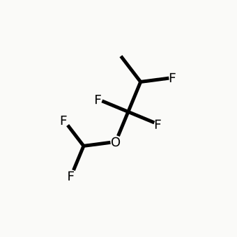 CC(F)C(F)(F)O[C](F)F